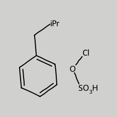 CC(C)Cc1ccccc1.O=S(=O)(O)OCl